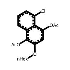 CCCCCCOc1cc(OC(C)=O)c2c(Cl)cccc2c1OC(C)=O